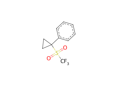 O=S(=O)(C(F)(F)F)C1(c2ccccc2)CC1